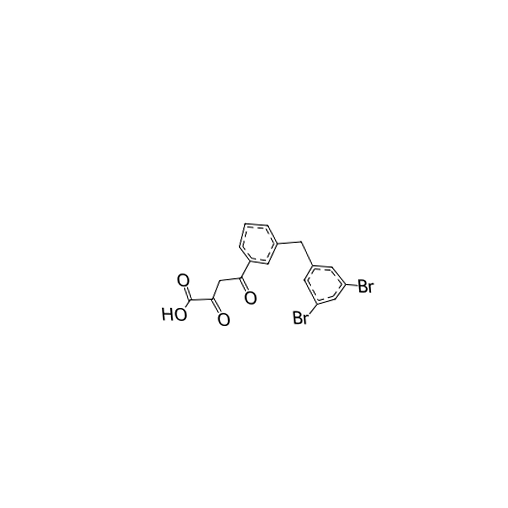 O=C(O)C(=O)CC(=O)c1cccc(Cc2cc(Br)cc(Br)c2)c1